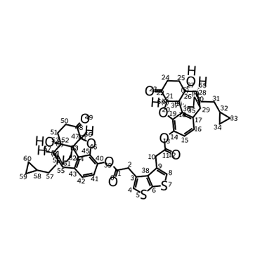 O=C(Cc1csc2scc(CC(=O)Oc3ccc4c5c3O[C@H]3C(=O)CC[C@@]6(O)[C@@H](C4)N(CC4CC4)CC[C@]536)c12)Oc1ccc2c3c1O[C@H]1C(=O)CC[C@@]4(O)[C@@H](C2)N(CC2CC2)CC[C@]314